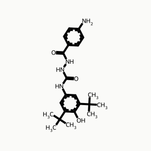 CC(C)(C)c1cc(NC(=O)NNC(=O)c2ccc(N)cc2)cc(C(C)(C)C)c1O